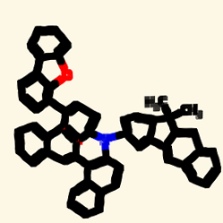 CC1(C)c2ccc(N(c3ccc(-c4cccc5c4oc4ccccc45)cc3)c3ccc4ccccc4c3-c3ccc4ccccc4c3)cc2-c2cc3ccccc3cc21